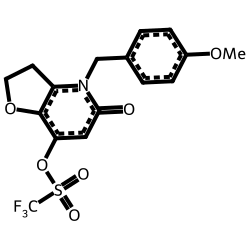 COc1ccc(Cn2c3c(c(OS(=O)(=O)C(F)(F)F)cc2=O)OCC3)cc1